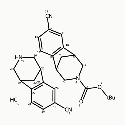 CC(C)(C)OC(=O)N1CC2CC(C1)c1cc(C#N)ccc12.Cl.N#Cc1ccc2c(c1)C1CNCC2C1